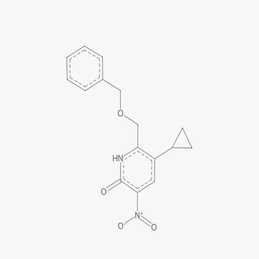 O=c1[nH]c(COCc2ccccc2)c(C2CC2)cc1[N+](=O)[O-]